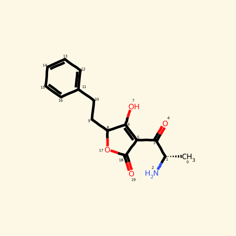 C[C@H](N)C(=O)C1=C(O)C(CCc2ccccc2)OC1=O